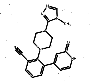 Cn1cnnc1C1CCN(c2c(C#N)cccc2-c2cc[nH]c(=O)c2)CC1